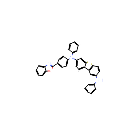 c1ccc(Nc2ccc3sc4cc(N(c5ccccc5)c5ccc(-c6nc7ccccc7o6)cc5)ccc4c3c2)cc1